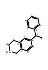 CC(c1ccccc1)c1ccc2c(c1)CCOC2